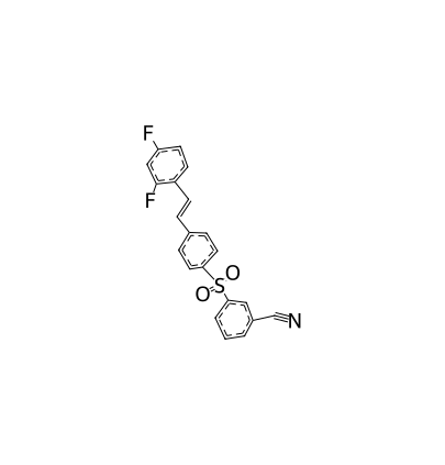 N#Cc1cccc(S(=O)(=O)c2ccc(C=Cc3ccc(F)cc3F)cc2)c1